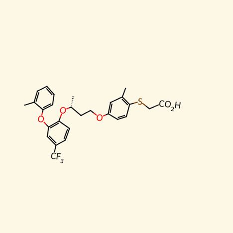 Cc1ccccc1Oc1cc(C(F)(F)F)ccc1O[C@H](C)CCOc1ccc(SCC(=O)O)c(C)c1